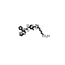 CCOC(=O)CCCCCc1nnc(-c2ncc(NC(=O)Nc3cnc4ccnn4c3C3CCCC3)cc2C)o1